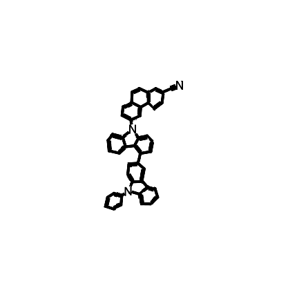 N#Cc1ccc2c(ccc3ccc(-n4c5ccccc5c5c(-c6ccc7c(c6)c6ccccc6n7-c6ccccc6)cccc54)cc32)c1